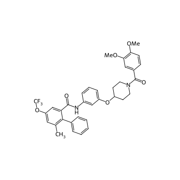 COc1ccc(C(=O)N2CCC(Oc3cccc(NC(=O)c4cc(OC(F)(F)F)cc(C)c4-c4ccccc4)c3)CC2)cc1OC